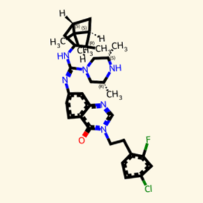 C[C@@H]1CN(C(=Nc2ccc3c(=O)n(CCc4ccc(Cl)cc4F)cnc3c2)NC2C[C@@H]3C[C@@H]([C@H]2C)C3(C)C)C[C@H](C)N1